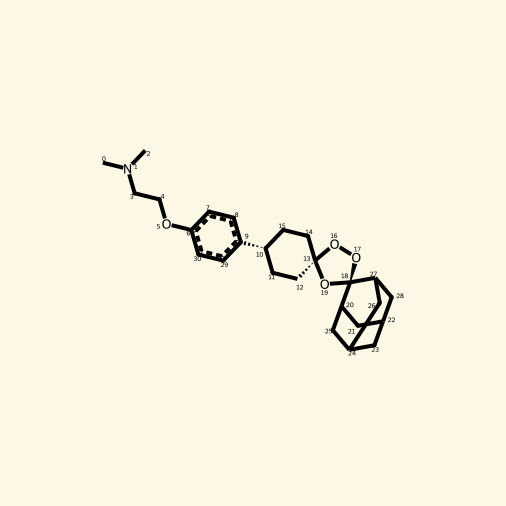 CN(C)CCOc1ccc([C@H]2CC[C@]3(CC2)OO[C@]2(O3)C3CC4CC(C3)CC2C4)cc1